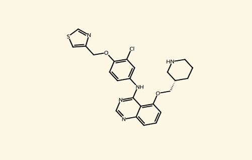 Clc1cc(Nc2ncnc3cccc(OC[C@H]4CCCNC4)c23)ccc1OCc1cscn1